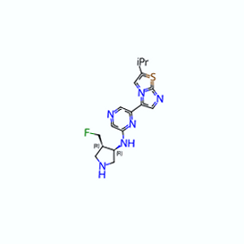 CC(C)c1cn2c(-c3cncc(N[C@H]4CNC[C@H]4CF)n3)cnc2s1